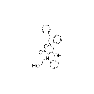 O=C1OC(CCc2ccccc2)(c2ccccc2)CC(O)=C1N(CCO)c1ccccc1